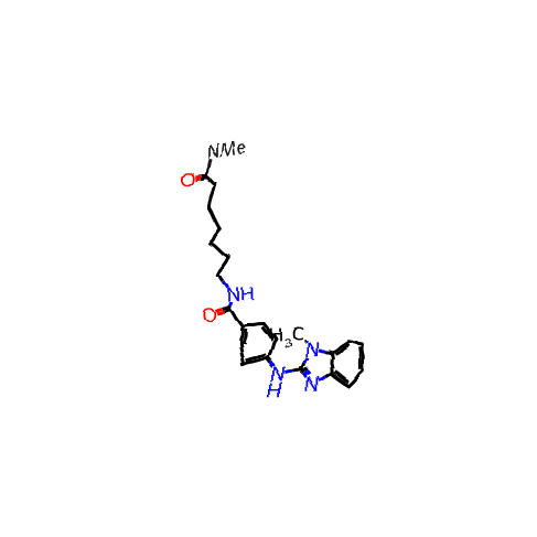 CNC(=O)CCCCCCNC(=O)c1ccc(Nc2nc3ccccc3n2C)cc1